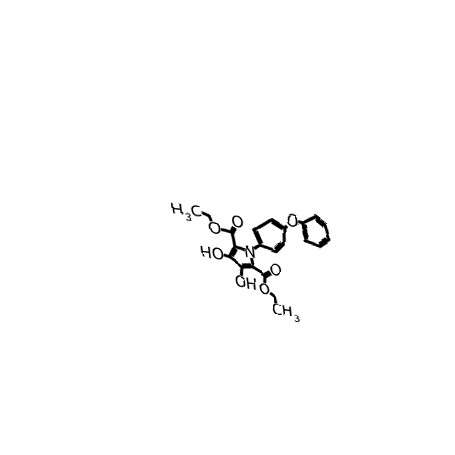 CCOC(=O)c1c(O)c(O)c(C(=O)OCC)n1-c1ccc(Oc2ccccc2)cc1